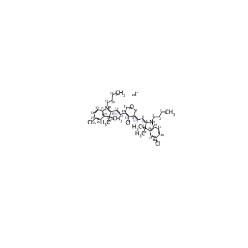 CCCCN1/C(=C/C=C2\COCC(/C=C/C3=[N+](CCCC)c4ccc(Cl)cc4C3(C)C)=C2Cl)C(C)(C)c2cc(Cl)ccc21.[I-]